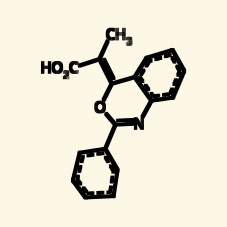 CC(C(=O)O)=C1OC(c2ccccc2)=Nc2ccccc21